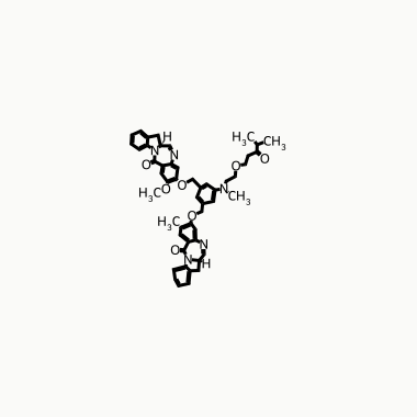 COc1cc2c(cc1OCc1cc(COc3cc4c(cc3C)C(=O)N3c5ccccc5C[C@H]3C=N4)cc(N(C)CCOCCC(=O)C(C)C)c1)N=C[C@@H]1Cc3ccccc3N1C2=O